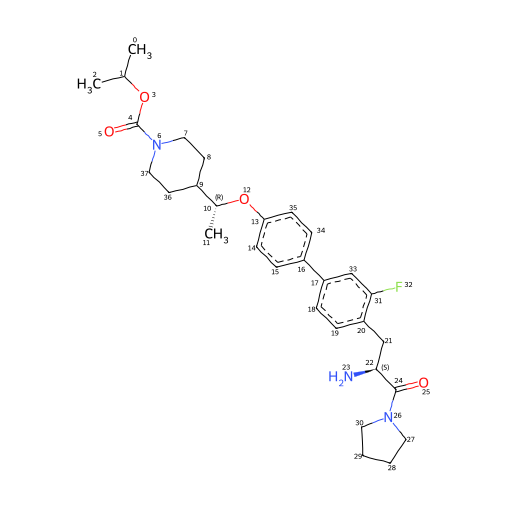 CC(C)OC(=O)N1CCC([C@@H](C)Oc2ccc(-c3ccc(C[C@H](N)C(=O)N4CCCC4)c(F)c3)cc2)CC1